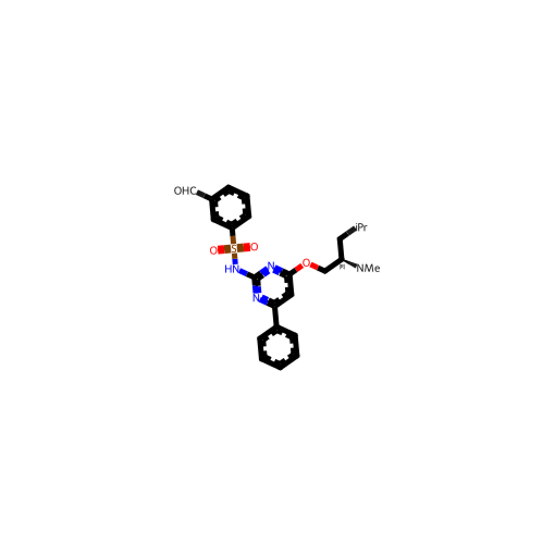 CN[C@@H](COc1cc(-c2ccccc2)nc(NS(=O)(=O)c2cccc(C=O)c2)n1)CC(C)C